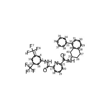 O=C(Nc1cc(C(F)(F)F)cc(C(F)(F)F)c1)c1cccc(C(=O)NC2CCc3cccc(-c4ccccc4)c3C2)n1